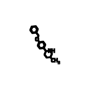 CC1CCC(c2ccc(OCc3ccccc3)cc2)NC1